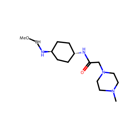 COBN[C@H]1CC[C@H](NC(=O)CN2CCN(C)CC2)CC1